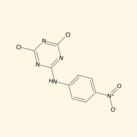 O=[N+]([O-])c1ccc(Nc2nc(Cl)nc(Cl)n2)cc1